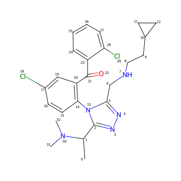 CC(c1nnc(CNCCC2CC2)n1-c1ccc(Cl)cc1C(=O)c1ccccc1Cl)N(C)C